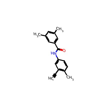 C#Cc1cc(NC(=O)c2cc(C)cc(C)c2)ccc1C